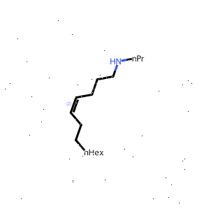 CCCCCCCC/C=C\CCCNCCC